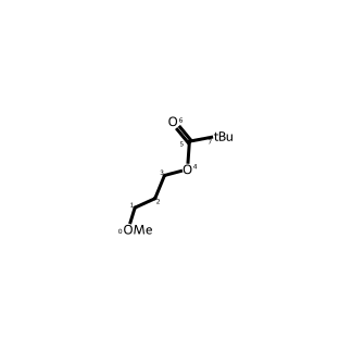 COCCCOC(=O)C(C)(C)C